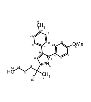 COc1ccc(-n2nc(C(C)(F)CCCO)cc2-c2ccc(C)cc2)cc1